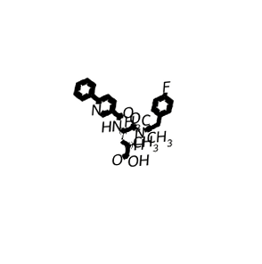 C[C@@H](C[C@H](NC(=O)c1ccc(-c2ccccc2)nc1)C(=O)NC(C)(C)Cc1ccc(F)cc1)C(=O)O